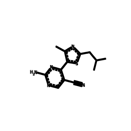 C[C](C)Cc1nc(C)c(-c2nc(N)ncc2C#N)s1